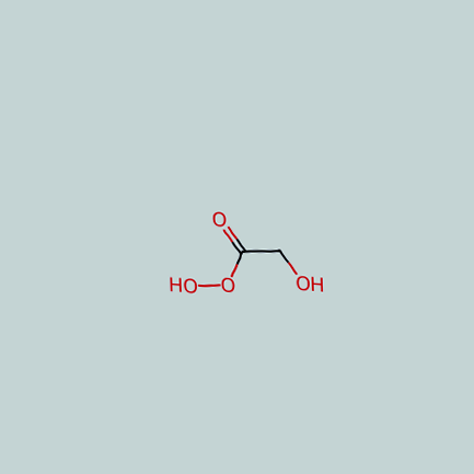 O=C(CO)OO